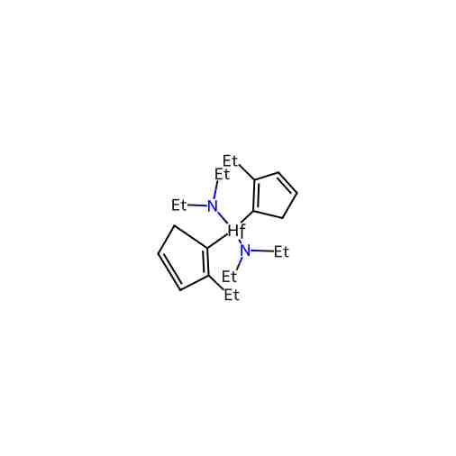 CCC1=[C]([Hf]([C]2=C(CC)C=CC2)([N](CC)CC)[N](CC)CC)CC=C1